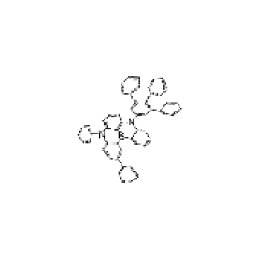 c1ccc(-c2ccc3c(c2)B2c4ccccc4N(c4cc(-c5ccccc5)c(-c5ccccc5)c(-c5ccccc5)c4)c4cccc(c42)N3c2ccccc2)cc1